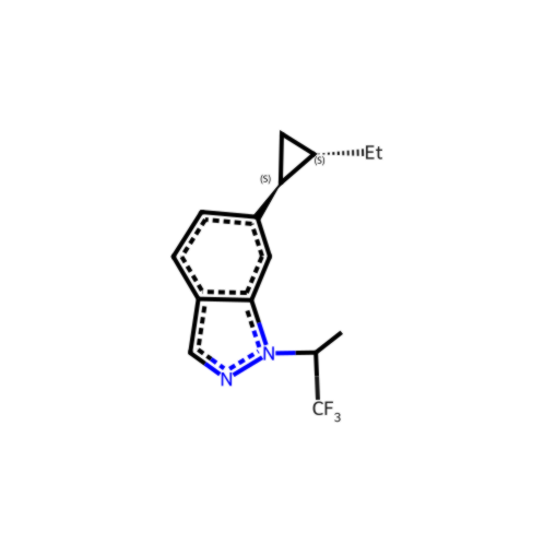 CC[C@H]1C[C@@H]1c1ccc2cnn(C(C)C(F)(F)F)c2c1